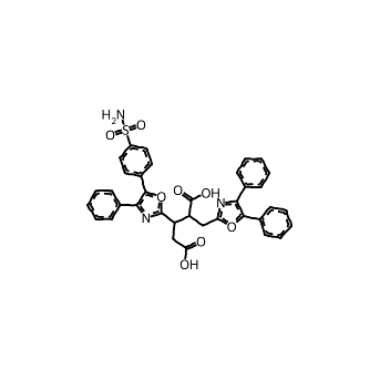 NS(=O)(=O)c1ccc(-c2oc(C(CC(=O)O)C(Cc3nc(-c4ccccc4)c(-c4ccccc4)o3)C(=O)O)nc2-c2ccccc2)cc1